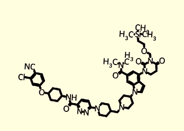 CN(C)C(=O)c1cc(N2CCC(=O)N(COCC[Si](C)(C)C)C2=O)c2ccn(C3CCN(CC4CCN(c5ccc(C(=O)NC6CCC(Oc7ccc(C#N)c(Cl)c7)CC6)nn5)CC4)CC3)c2c1